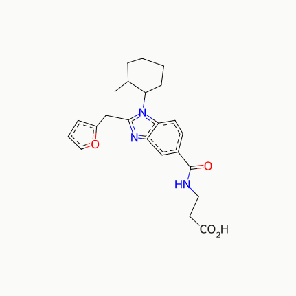 CC1CCCCC1n1c(Cc2ccco2)nc2cc(C(=O)NCCC(=O)O)ccc21